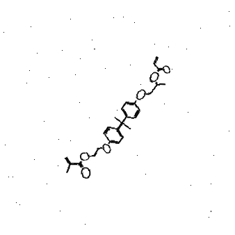 C=CC(=O)OC(C)COc1ccc(C(C)(C)c2ccc(OCCOC(=O)C(=C)C)cc2)cc1